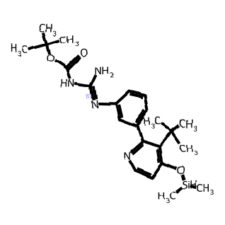 C[SiH](C)Oc1ccnc(-c2cccc(/N=C(\N)NC(=O)OC(C)(C)C)c2)c1C(C)(C)C